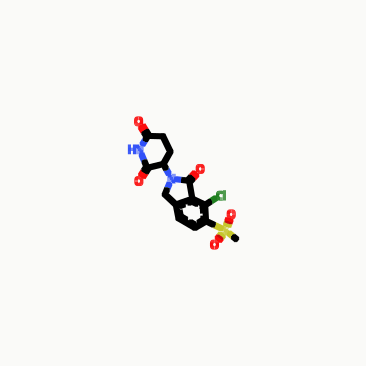 CS(=O)(=O)c1ccc2c(c1Cl)C(=O)N(C1CCC(=O)NC1=O)C2